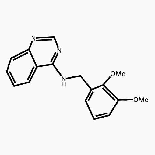 COc1cccc(CNc2ncnc3ccccc23)c1OC